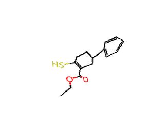 CCOC(=O)C1=C(S)CCC(c2ccccc2)C1